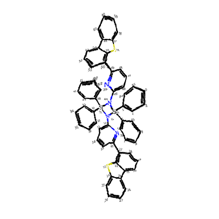 c1ccc([Si]2(c3ccccc3)N(c3cccc(-c4cccc5c4sc4ccccc45)n3)[Si](c3ccccc3)(c3ccccc3)N2c2cccc(-c3cccc4c3sc3ccccc34)n2)cc1